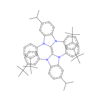 CC(C)c1ccc2c(c1)N(c1cccc(C(C)(C)C)c1)/C(=C1\N(c3cccc(C(C)(C)C)c3)c3ccc(C(C)C)cc3N1c1cccc(C(C)(C)C)c1)N2c1cccc(C(C)(C)C)c1